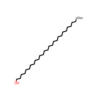 [CH2]CCCCCCCCCCCCCCCCCCCCCCCCCCCCCCCCCCCO